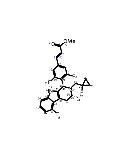 COC(=O)/C=C/c1cc(F)c([C@@H]2c3[nH]c4cccc(F)c4c3C[C@@H](C)N2CC2(F)CC2)c(F)c1